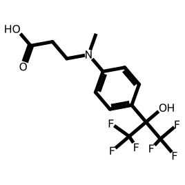 CN(CCC(=O)O)c1ccc(C(O)(C(F)(F)F)C(F)(F)F)cc1